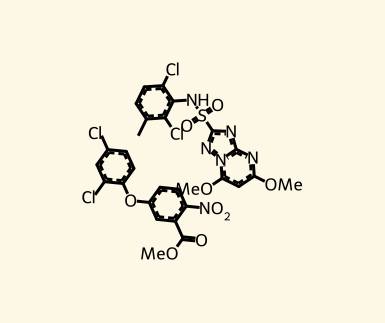 COC(=O)c1cc(Oc2ccc(Cl)cc2Cl)ccc1[N+](=O)[O-].COc1cc(OC)n2nc(S(=O)(=O)Nc3c(Cl)ccc(C)c3Cl)nc2n1